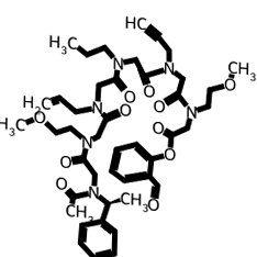 C#CCN(CC(=O)N(CCOC)CC(=O)Oc1ccccc1C=O)C(=O)CN(CCC)C(=O)CN(CC=C)C(=O)CN(CCOC)C(=O)CN(C(C)=O)[C@@H](C)c1ccccc1